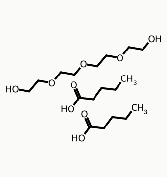 CCCCC(=O)O.CCCCC(=O)O.OCCOCCOCCOCCO